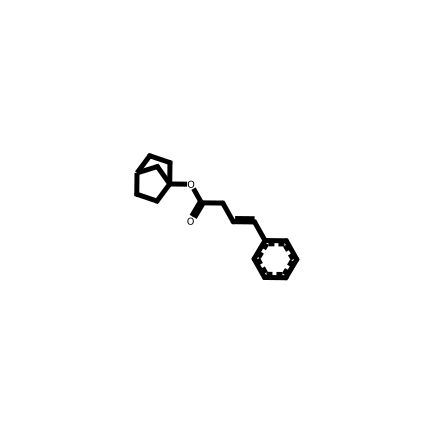 O=C(CC=Cc1ccccc1)OC12CCC(CC1)C2